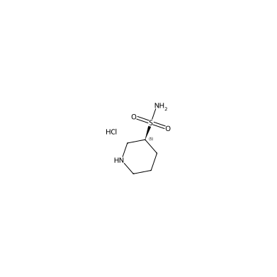 Cl.NS(=O)(=O)[C@H]1CCCNC1